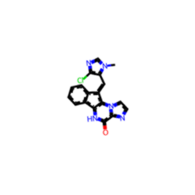 Cn1cnc(Cl)c1C=c1c2ccccc2c2[nH]c(=O)c3nccn3c12